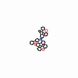 c1ccc2c(c1)Oc1ccccc1C21c2ccccc2-c2cc(N(c3ccc4c(c3)oc3ccccc34)c3cccc4c3-c3ccccc3C43c4ccccc4Oc4ccccc43)ccc21